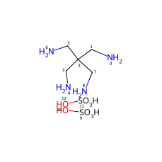 NCC(CN)(CN)CN.O=S(=O)(O)O.O=S(=O)(O)O